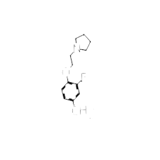 [CH2]c1ccc(OCCN2CCCC2)c(F)c1